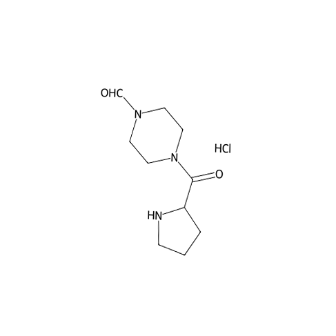 Cl.O=CN1CCN(C(=O)C2CCCN2)CC1